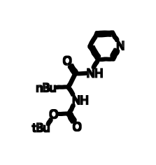 CCCCC(NC(=O)OC(C)(C)C)C(=O)Nc1cccnc1